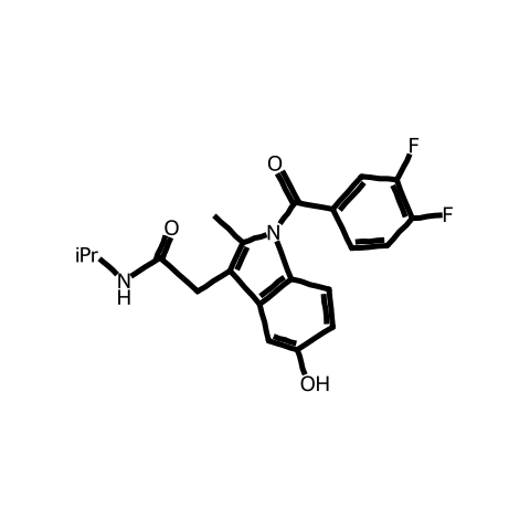 Cc1c(CC(=O)NC(C)C)c2cc(O)ccc2n1C(=O)c1ccc(F)c(F)c1